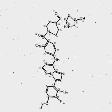 CCOc1ccc(-c2cnc3c(Nc4ccc(C(=O)N5CCN(C(=O)[C@@H]6C[C@@H](O)CN6)CC5)c(Cl)c4)nccn23)c(Cl)c1F